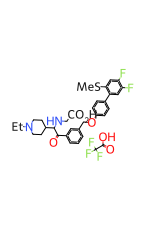 CCN1CCC(C(NCC(=O)O)C(=O)c2cccc(COc3ccc(-c4cc(F)c(F)cc4SC)cc3)c2)CC1.O=C(O)C(F)(F)F